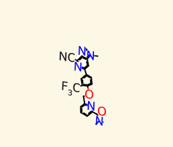 CN(C)C(=O)c1cccc(COc2ccc(-c3cc4c(ncn4C)c(C#N)n3)cc2C(F)(F)F)n1